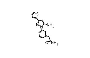 NC(=O)Cc1cccc(-n2nc(-c3cccs3)cc2N)c1